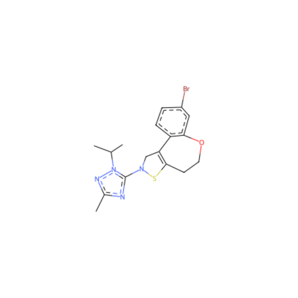 Cc1nc(N2CC3=C(CCOc4cc(Br)ccc43)S2)n(C(C)C)n1